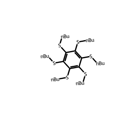 CCCCSc1c(SCCCC)c(SCCCC)c(SCCCC)c(SCCCC)c1SCCCC